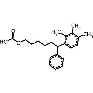 Cc1ccc(C(CCCCCOC(=O)O)c2ccccc2)c(C)c1C